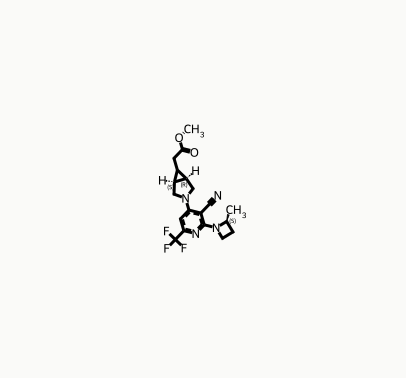 COC(=O)CC1[C@H]2CN(c3cc(C(F)(F)F)nc(N4CC[C@@H]4C)c3C#N)C[C@@H]12